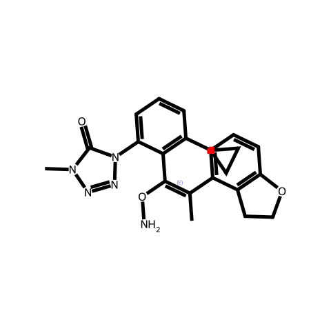 C/C(=C(\ON)c1c(C2CC2)cccc1-n1nnn(C)c1=O)c1cccc2c1CCO2